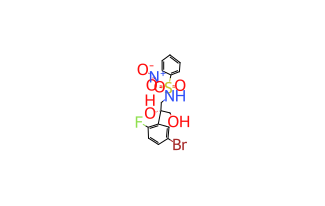 O=[N+]([O-])c1ccccc1S(=O)(=O)NC[C@@](O)(CO)c1cc(Br)ccc1F